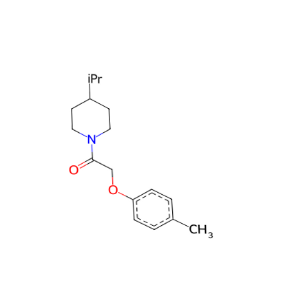 Cc1ccc(OCC(=O)N2CCC(C(C)C)CC2)cc1